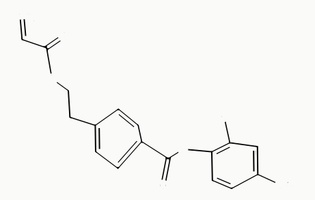 C=CC(=O)OCCc1ccc(C(=O)Oc2ccc(OC(C)=O)cc2C)cc1